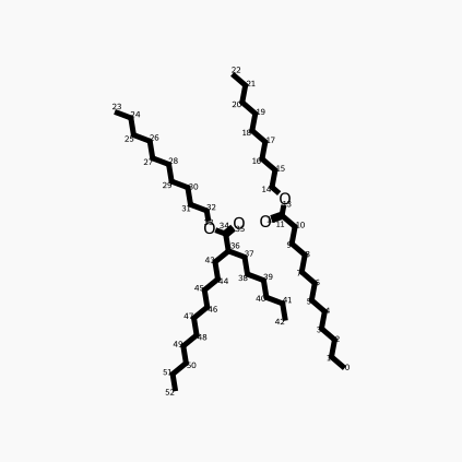 CCCCCCCCCCCC(=O)OCCCCCCCCC.CCCCCCCCCCOC(=O)C(CCCCCC)CCCCCCCCCC